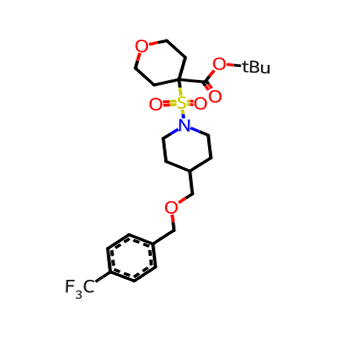 CC(C)(C)OC(=O)C1(S(=O)(=O)N2CCC(COCc3ccc(C(F)(F)F)cc3)CC2)CCOCC1